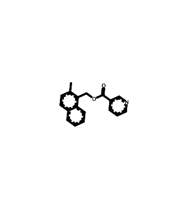 Cc1ccc2ccccc2c1COC(=O)c1cccnc1